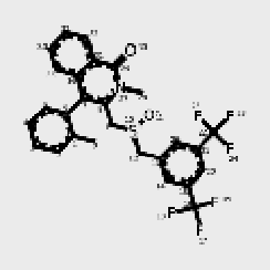 Cc1ccccc1-c1c(C[S+]([O-])Cc2cc(C(F)(F)F)cc(C(F)(F)F)c2)n(C)c(=O)c2ccccc12